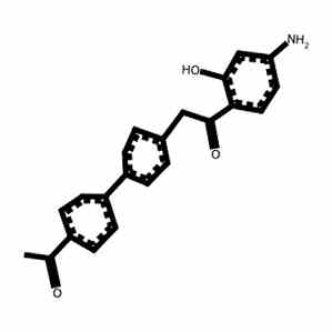 CC(=O)c1ccc(-c2ccc(CC(=O)c3ccc(N)cc3O)cc2)cc1